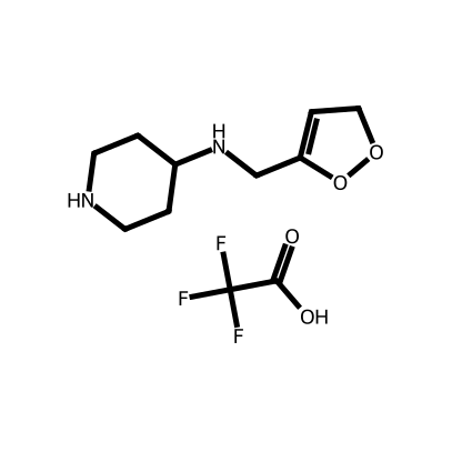 C1=C(CNC2CCNCC2)OOC1.O=C(O)C(F)(F)F